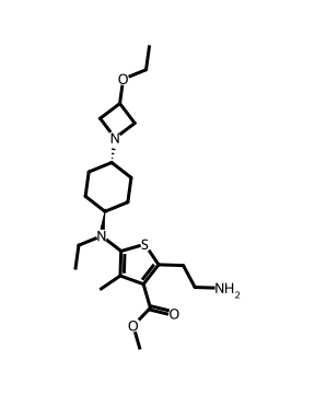 CCOC1CN([C@H]2CC[C@H](N(CC)c3sc(CCN)c(C(=O)OC)c3C)CC2)C1